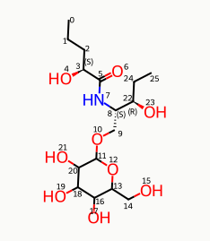 CCC[C@H](O)C(=O)N[C@@H](COC1OC(CO)C(O)C(O)C1O)[C@H](O)CC